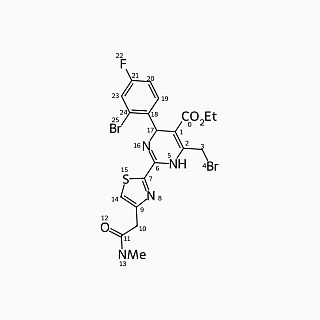 CCOC(=O)C1=C(CBr)NC(c2nc(CC(=O)NC)cs2)=NC1c1ccc(F)cc1Br